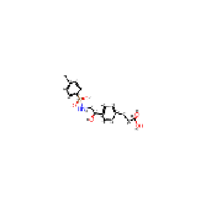 Cc1ccc(S(=O)(=O)NCC(=O)c2ccc(CCC(=O)O)cc2)cc1